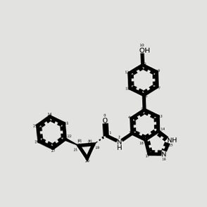 O=C(Nc1cc(-c2ccc(O)cc2)cc2[nH]ncc12)[C@@H]1C[C@H]1c1ccccc1